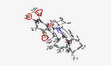 [CH]c1ccc(C[N+]2(C3CCC3)C(=O)C3(COc4cc5c(cc43)OCO5)c3ccccc32)cc1